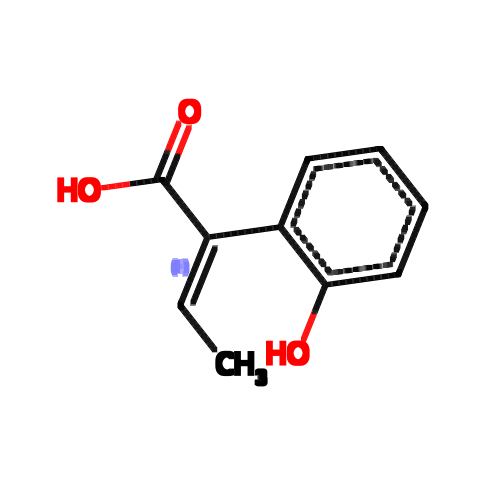 C/C=C(/C(=O)O)c1ccccc1O